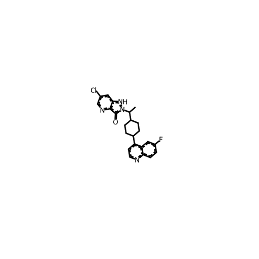 CC(C1CCC(c2ccnc3ccc(F)cc23)CC1)n1[nH]c2cc(Cl)cnc2c1=O